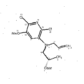 C=CCN(C[C@H](C)OC)c1cc(OC)c(Cl)nc1Cl